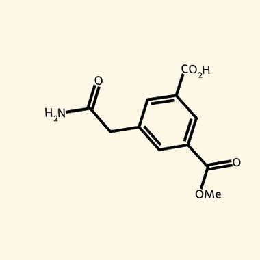 COC(=O)c1cc(CC(N)=O)cc(C(=O)O)c1